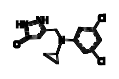 O=c1cc(CN(c2cc(Cl)cc(Cl)c2)C2CC2)[nH][nH]1